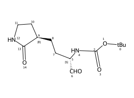 CC(C)(C)OC(=O)N[C@H](C=O)CC[C@@H]1CCNC1=O